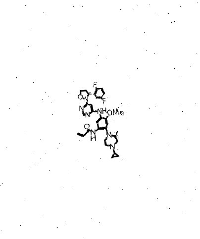 C=CC(=O)Nc1cc(Nc2cc(N3OCC[C@@H]3c3cc(F)ccc3F)ncn2)c(OC)cc1N1CCN(C2CC2)C[C@@H]1C